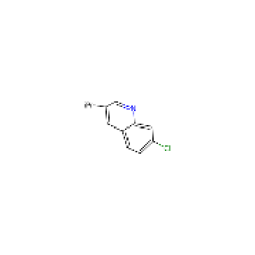 CC(C)c1cnc2cc(Cl)ccc2c1